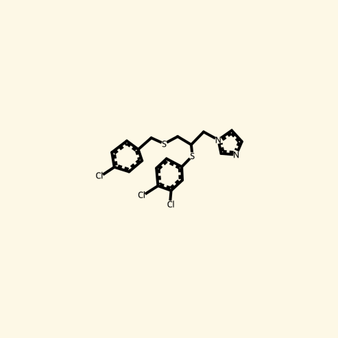 Clc1ccc(CSCC(Cn2ccnc2)Sc2ccc(Cl)c(Cl)c2)cc1